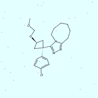 COCO[C@H]1C[C@@](c2ccc(Cl)cc2)(c2nnc3n2CCCCCC3)C1